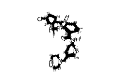 O=C(Nc1ccc(CN2CCOCC2)cn1)c1cccc2[nH]c(-c3ccc(Cl)cc3C(F)(F)F)nc12